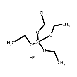 CCO[Si](OCC)(OCC)OCC.F